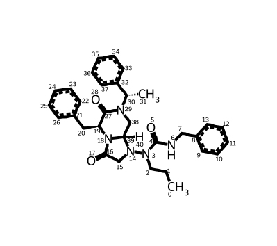 CCCN(C(=O)NCc1ccccc1)N1CC(=O)N2[C@@H](Cc3ccccc3)C(=O)N([C@@H](C)c3ccccc3)C[C@@H]21